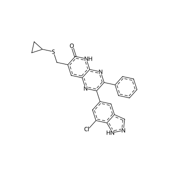 O=c1[nH]c2nc(-c3ccccc3)c(-c3cc(Cl)c4[nH]ncc4c3)nc2cc1CSC1CC1